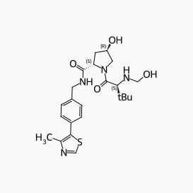 Cc1ncsc1-c1ccc(CNC(=O)[C@@H]2C[C@@H](O)CN2C(=O)[C@@H](NCO)C(C)(C)C)cc1